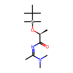 C/C(=N/C(=O)[C@H](C)O[Si](C)(C)C(C)(C)C)N(C)C